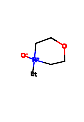 CC[N+]1([O-])CCOCC1